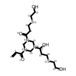 C=CC(=O)N1CN(C(=O)CCSCCO)CN(C(O)CCSCCO)C1